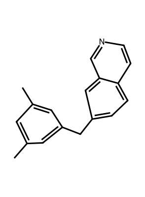 Cc1cc(C)cc(Cc2ccc3ccncc3c2)c1